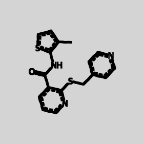 Cc1ccsc1NC(=O)c1cccnc1SCc1ccncc1